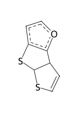 C1=CC2c3occc3SC2S1